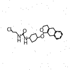 O=C(NCCCl)NC1CCC(OC2OCCC3=C2Cc2ccccc2C3)CC1